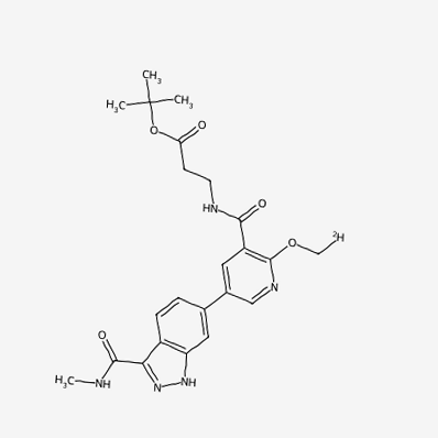 [2H]COc1ncc(-c2ccc3c(C(=O)NC)n[nH]c3c2)cc1C(=O)NCCC(=O)OC(C)(C)C